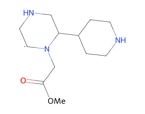 COC(=O)CN1[CH]CNCC1C1CCNCC1